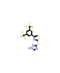 FC(F)(F)c1cc(-c2csc(Sc3nc[nH]n3)n2)cc(C(F)(F)F)c1